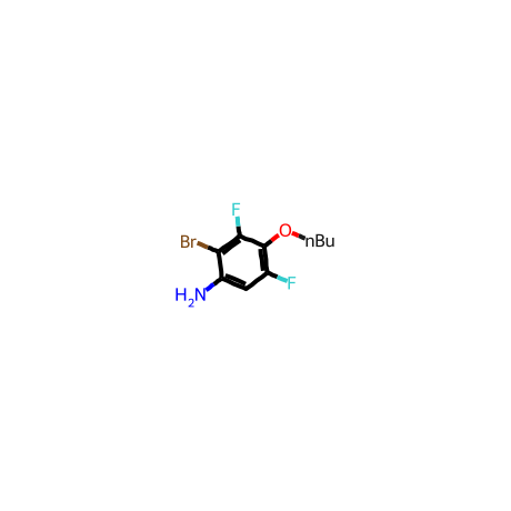 CCCCOc1c(F)cc(N)c(Br)c1F